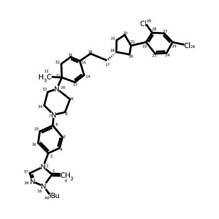 C=C1N(c2ccc(N3CCN(C4(C)C=CC(CC[C@@H]5CCC(c6ccc(Cl)cc6Cl)C5)=CC4)CC3)cc2)C=NN1C(C)CC